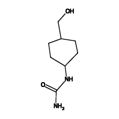 NC(=O)NC1CCC(CO)CC1